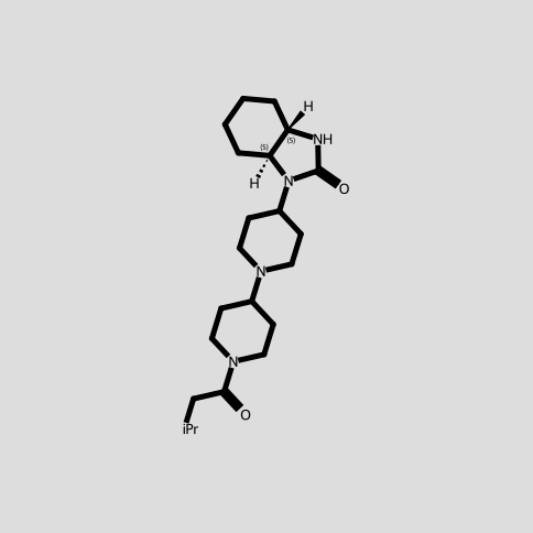 CC(C)CC(=O)N1CCC(N2CCC(N3C(=O)N[C@H]4CCCC[C@@H]43)CC2)CC1